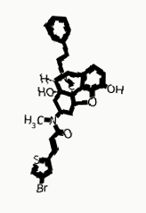 CN(C(=O)/C=C/c1cc(Br)cs1)C1CC2Oc3c(O)ccc4c3[C@@]23CCN(CCc2ccccc2)[C@H](C4)[C@]3(O)C1